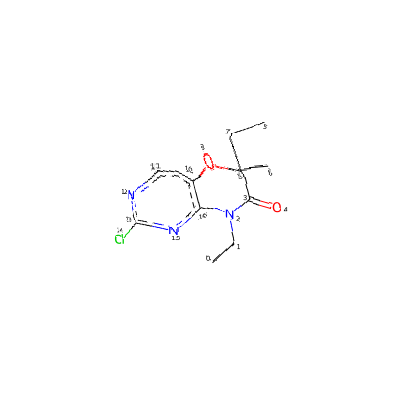 CCN1C(=O)C(C)(CC)Oc2cnc(Cl)nc21